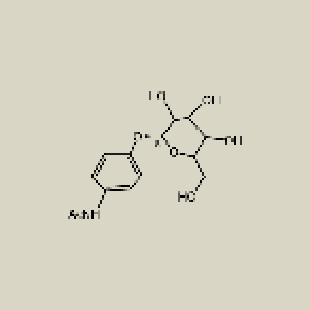 CC(=O)Nc1ccc(O[C@H]2OC(CO)C(O)C(O)C2O)cc1